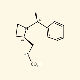 C[C@@H](c1ccccc1)N1CC[C@@H]1CNC(=O)O